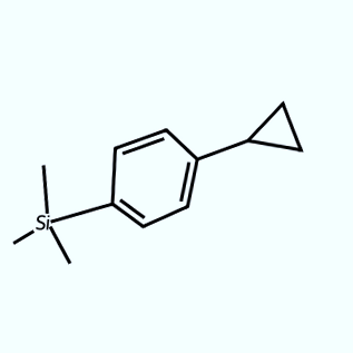 C[Si](C)(C)c1ccc(C2CC2)cc1